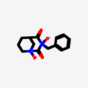 O=C1C2CCC[N+]([O-])(C2)C(=O)[N+]1([O-])Cc1ccccc1